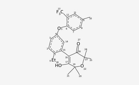 CCc1ccc(Oc2ccc(C)cc2C(F)(F)F)cc1C1=C(O)C(C)(C)OC(C)(C)C1=O